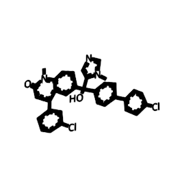 Cn1cncc1C(O)(c1ccc(-c2ccc(Cl)cc2)cc1)c1ccc2c(c1)c(-c1cccc(Cl)c1)cc(=O)n2C